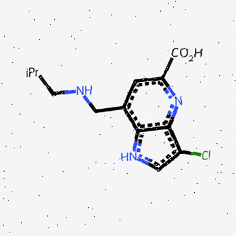 CC(C)CNCc1cc(C(=O)O)nc2c(Cl)c[nH]c12